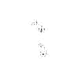 C1=CC2c3cnc(-c4ccccc4-c4ccccc4-n4c5ccccc5n5c6ccccc6nc45)nc3SC2C=C1c1ccc2nc3n(-c4ccccc4-c4ccccc4-c4ncnc5c4oc4ccccc45)c4ccccc4n3c2c1